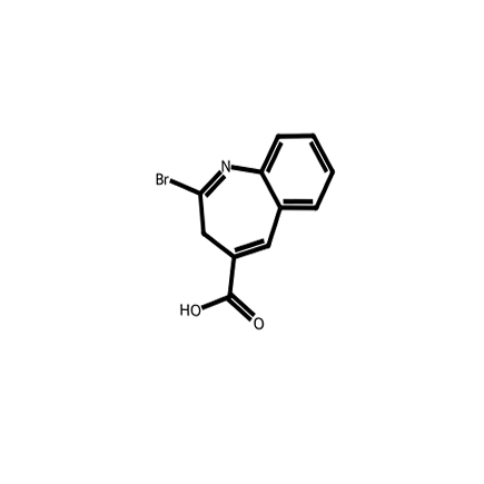 O=C(O)C1=Cc2ccccc2N=C(Br)C1